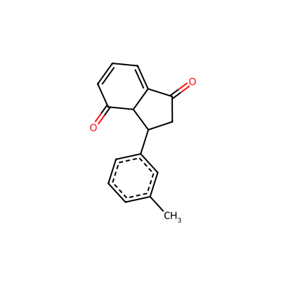 Cc1cccc(C2CC(=O)C3=CC=CC(=O)C32)c1